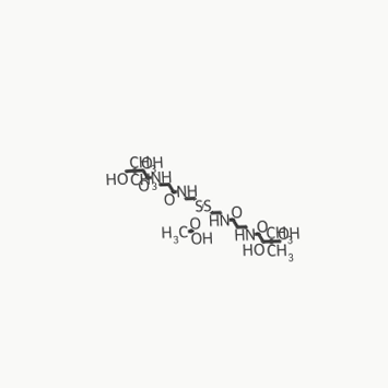 CC(=O)O.CC(C)(CO)C(O)C(=O)NCCC(=O)NCCSSCCNC(=O)CCNC(=O)C(O)C(C)(C)CO